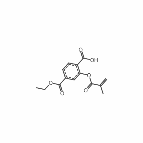 C=C(C)C(=O)Oc1cc(C(=O)OCC)ccc1C(=O)O